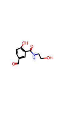 O=Cc1ccc(O)c(C(=O)NCCO)c1